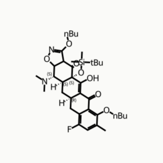 CCCCOC1=NOC2C1C(=O)[C@@]1(O[Si](C)(C)C(C)(C)C)C(O)=C3C(=O)c4c(c(F)cc(C)c4OCCCC)C[C@H]3C[C@H]1[C@@H]2N(C)C